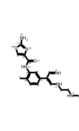 CNCCN/C=C(\C=N)c1ccc(C)c(NC(=O)c2coc(N)n2)c1